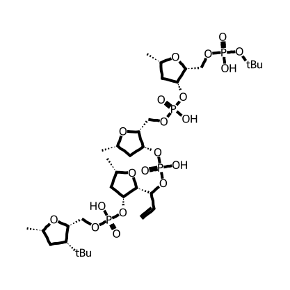 C=CC(OP(=O)(O)O[C@@H]1C[C@H](C)O[C@@H]1COP(=O)(O)O[C@@H]1C[C@H](C)O[C@@H]1COP(=O)(O)OC(C)(C)C)[C@H]1O[C@@H](C)C[C@H]1OP(=O)(O)OC[C@H]1O[C@@H](C)C[C@H]1C(C)(C)C